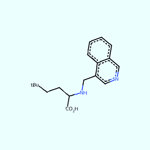 CC(C)(C)CCC(NCc1cncc2ccccc12)C(=O)O